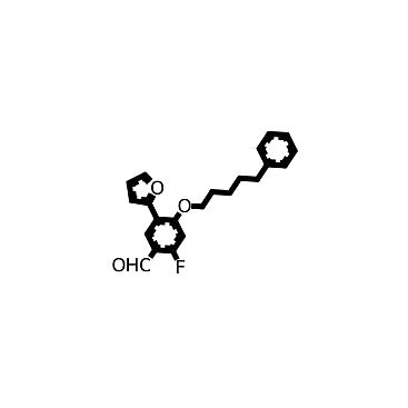 O=Cc1cc(-c2ccco2)c(OCCCCCc2ccccc2)cc1F